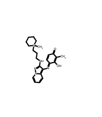 CC1=C(O)/C(=N/c2c(NCCC[N+]3(C)CCCCC3)nn3ccccc23)C=CC1=O